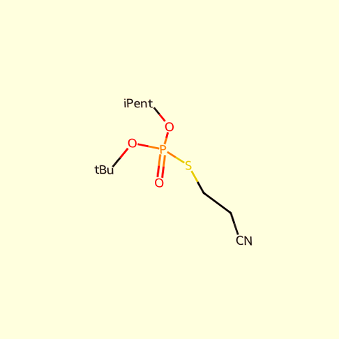 CCCC(C)OP(=O)(OC(C)(C)C)SCCC#N